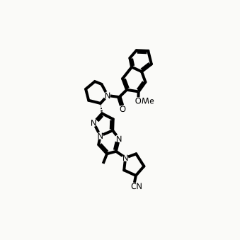 COc1cc2ccccc2cc1C(=O)N1CCCC[C@H]1c1cc2nc(N3CCC(C#N)C3)c(C)cn2n1